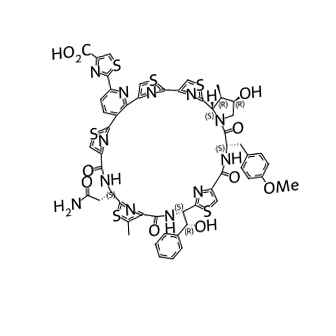 COc1ccc(C[C@@H]2NC(=O)c3csc(n3)[C@H]([C@H](O)c3ccccc3)NC(=O)c3nc(sc3C)[C@H](CC(N)=O)NC(=O)c3csc(n3)-c3ccc(-c4nc(C(=O)O)cs4)nc3-c3csc(n3)-c3csc(n3)[C@@H]3[C@@H](C)[C@@H](O)CN3C2=O)cc1